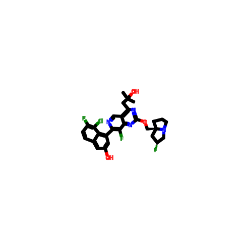 CC(C)(O)Cc1nc(OC[C@@]23CCCN2C[C@H](F)C3)nc2c(F)c(-c3cc(O)cc4ccc(F)c(Cl)c34)ncc12